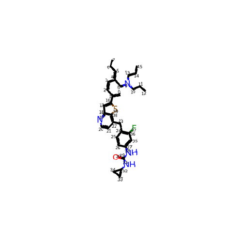 C=C(/C=C\C(=C/CC)CN(CCC)CCC)c1cc2nccc(Cc3ccc(NC(=O)NC4CC4)cc3F)c2s1